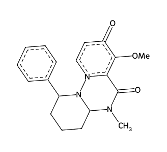 COc1c2n(ccc1=O)N1C(c3ccccc3)CCCC1N(C)C2=O